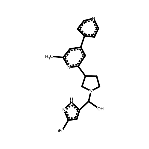 Cc1cc(-c2ccncc2)cc(C2CCN(C(O)c3cc(C(C)C)n[nH]3)C2)n1